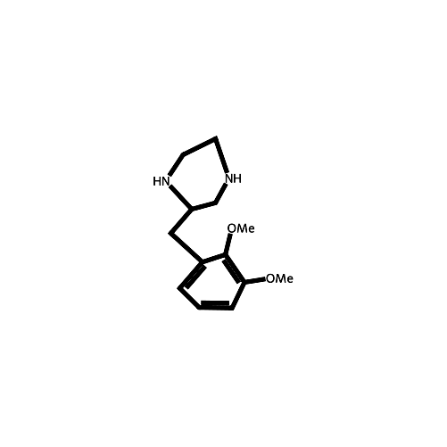 COc1cccc(CC2CNCCN2)c1OC